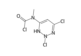 CN(C(=O)Cl)C1=CC(Cl)=NN(Cl)N1